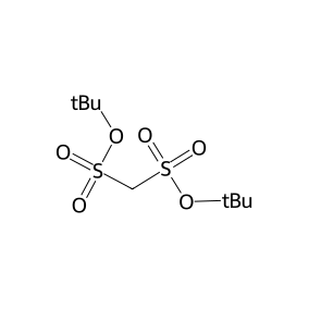 CC(C)(C)OS(=O)(=O)CS(=O)(=O)OC(C)(C)C